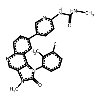 CNC(=O)Nc1ccc(-c2ccc3ncc4c(c3c2)n(-c2cccc(Cl)c2C)c(=O)n4C)cn1